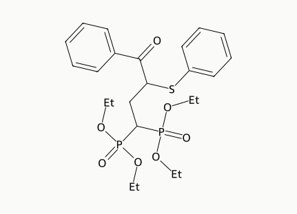 CCOP(=O)(OCC)C(CC(Sc1ccccc1)C(=O)c1ccccc1)P(=O)(OCC)OCC